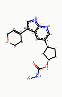 CC(C)NC(=O)O[C@@H]1CC[C@H](c2cnc3[nH]cc(C4=CCOCC4)c3c2)C1